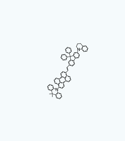 CC1(C)c2ccccc2N(c2ccc3c4cccc5c(/C=C/c6ccc7c(c6)C(c6ccccc6)(c6ccccc6)c6cc(N8CCCc9ccccc98)ccc6-7)ccc(c6cccc2c63)c54)c2ccccc21